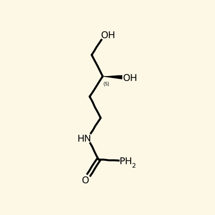 O=C(P)NCC[C@H](O)CO